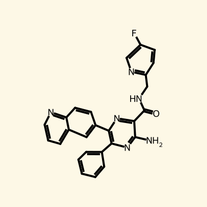 Nc1nc(-c2ccccc2)c(-c2ccc3ncccc3c2)nc1C(=O)NCc1ccc(F)cn1